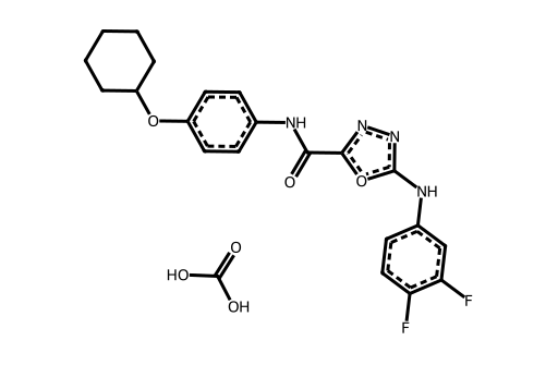 O=C(Nc1ccc(OC2CCCCC2)cc1)c1nnc(Nc2ccc(F)c(F)c2)o1.O=C(O)O